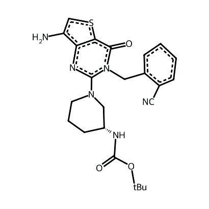 CC(C)(C)OC(=O)N[C@@H]1CCCN(c2nc3c(N)csc3c(=O)n2Cc2ccccc2C#N)C1